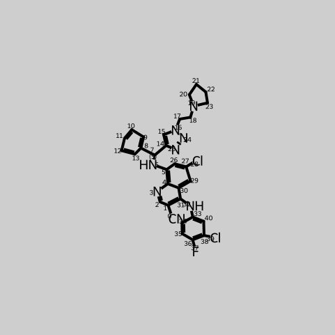 N#Cc1cnc2c(N[C@@H](c3ccccc3)c3cn(CCN4CCCC4)nn3)cc(Cl)cc2c1Nc1ccc(F)c(Cl)c1